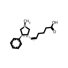 CN1C[C@H](c2ccccc2)[C@@H](/C=C\CCCC(=O)O)C1